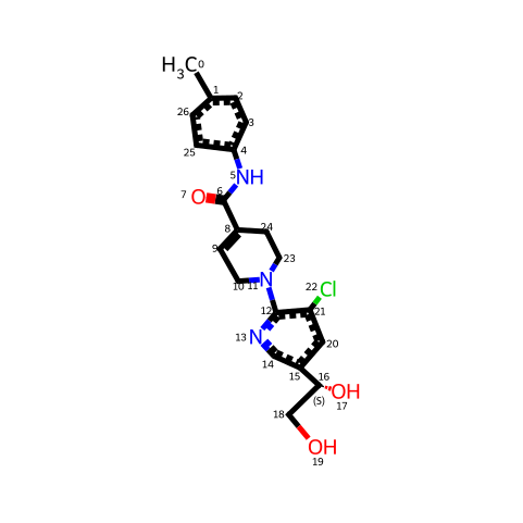 Cc1ccc(NC(=O)C2=CCN(c3ncc([C@H](O)CO)cc3Cl)CC2)cc1